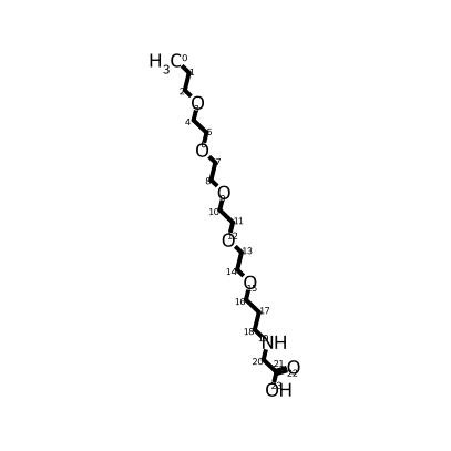 CCCOCCOCCOCCOCCOCCCNCC(=O)O